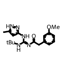 COc1cccc(CC(=O)/N=C(\Nc2cc(C)[nH]n2)NC(C)(C)C)c1